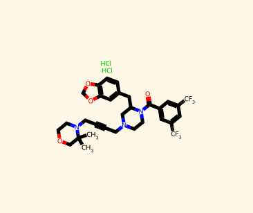 CC1(C)COCCN1CC#CCN1CCN(C(=O)c2cc(C(F)(F)F)cc(C(F)(F)F)c2)C(Cc2ccc3c(c2)OCO3)C1.Cl.Cl